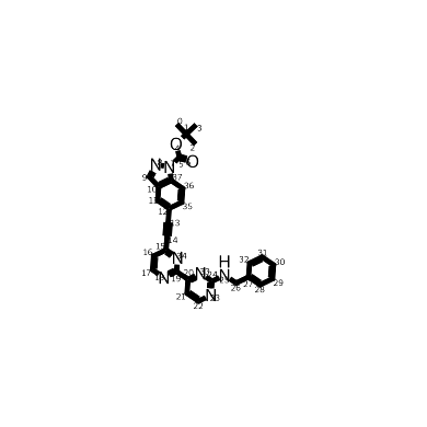 CC(C)(C)OC(=O)n1ncc2cc(C#Cc3ccnc(-c4ccnc(NCc5ccccc5)n4)n3)ccc21